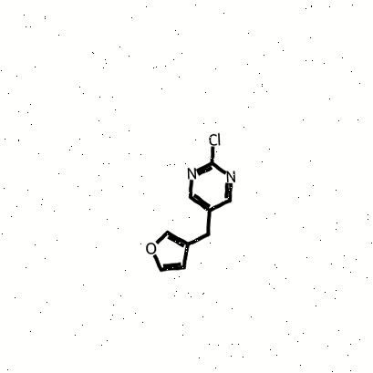 Clc1ncc(Cc2ccoc2)cn1